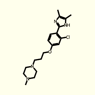 Cc1nc(-c2ccc(OCCCN3CCN(C)CC3)cc2Cl)[nH]c1C